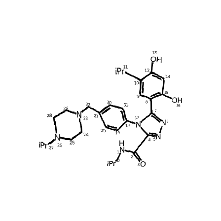 CC(C)NC(=O)c1nnc(-c2cc(C(C)C)c(O)cc2O)n1-c1ccc(CN2CCN(C(C)C)CC2)cc1